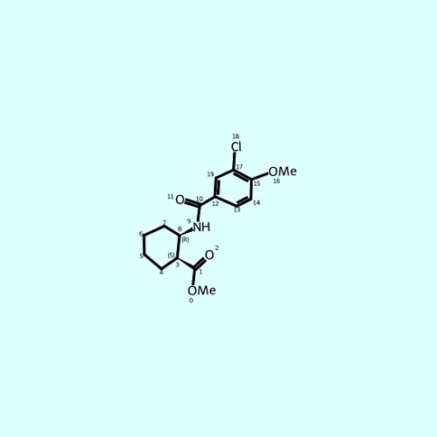 COC(=O)[C@H]1CCCC[C@H]1NC(=O)c1ccc(OC)c(Cl)c1